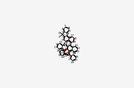 CC1(C)c2ccccc2-c2ccc(N(c3ccccc3-c3ccc(-c4ccccc4)cc3)c3c(-c4ccccc4)c4ccccc4c4oc5ccccc5c34)cc21